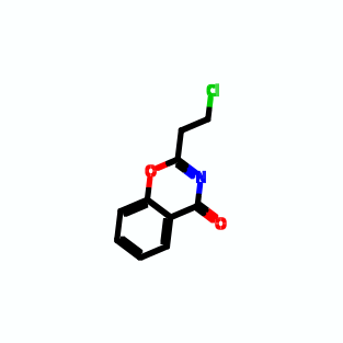 O=c1nc(CCCl)oc2ccccc12